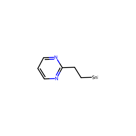 [Sn][CH2]Cc1ncccn1